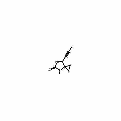 CC#CC1NC(=O)NC12CC2